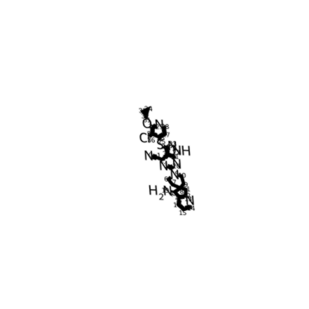 N#Cc1nc(N2CCC3(CC2)Cc2ncccc2[C@H]3N)nc2[nH]nc(Sc3ccnc(OC4CC4)c3Cl)c12